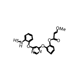 COC=CC(=O)Oc1ccccc1Oc1cc(Oc2ccccc2NS)ncn1